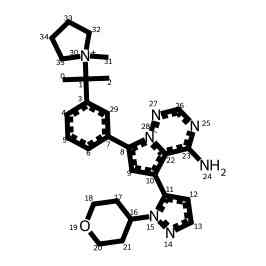 CC(C)(c1cccc(-c2cc(-c3ccnn3C3CCOCC3)c3c(N)ncnn23)c1)[N+]1(C)CCCC1